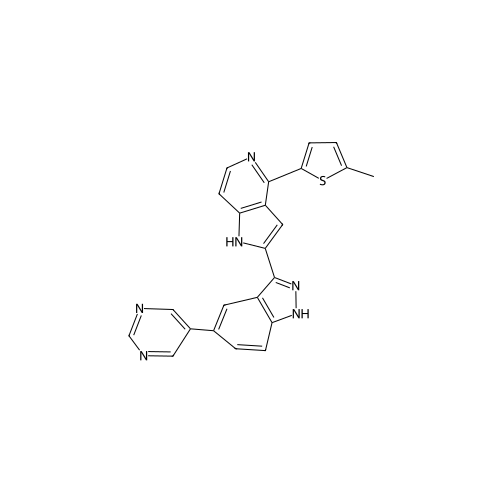 Cc1ccc(-c2nccc3[nH]c(-c4n[nH]c5ccc(-c6cncnc6)cc45)cc23)s1